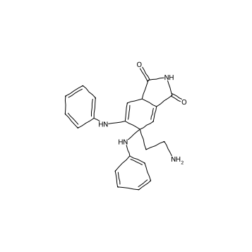 NCCC1(Nc2ccccc2)C=C2C(=O)NC(=O)C2C=C1Nc1ccccc1